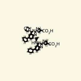 O=C(O)c1cnn(-c2nc(N3CCOCC3)c3cc(C4CCCCC4)ccc3n2)c1.O=C(O)c1cnn(-c2nc(NC3CC3)c3cc(C4CCCCC4)ccc3n2)c1